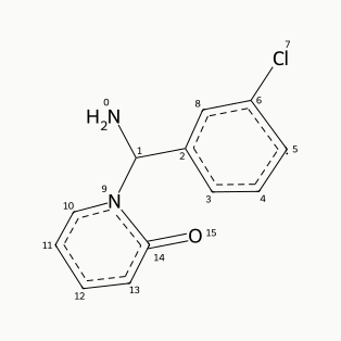 NC(c1cc[c]c(Cl)c1)n1ccccc1=O